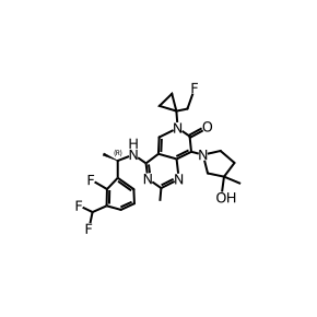 Cc1nc(N[C@H](C)c2cccc(C(F)F)c2F)c2cn(C3(CF)CC3)c(=O)c(N3CCC(C)(O)C3)c2n1